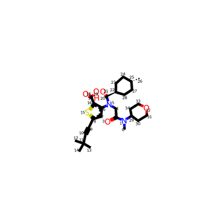 CN(C(=O)CN(c1cc(C#CC(C)(C)C)sc1C(=O)O)C(=O)[C@H]1CC[C@H](C)CC1)C1CCOCC1